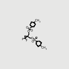 Cc1ccc(S(=O)(=O)OCC2(COS(=O)(=O)c3ccc(C)cc3)CC2(F)F)cc1